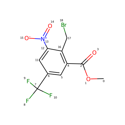 COC(=O)c1cc(C(F)(F)F)cc([N+](=O)[O-])c1CBr